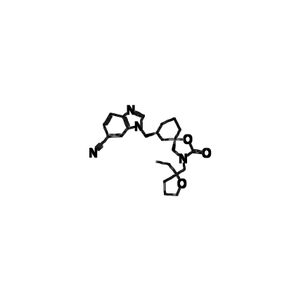 CCC1(CN2C[C@@]3(CCC[C@H](Cn4cnc5ccc(C#N)cc54)C3)OC2=O)CCCO1